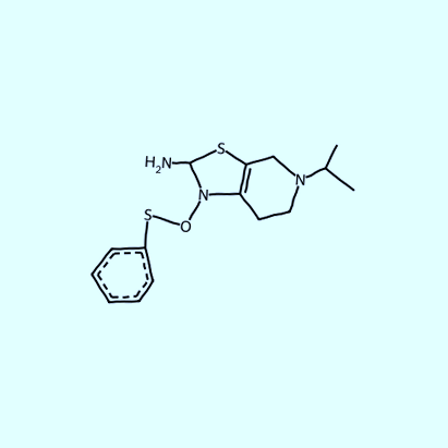 CC(C)N1CCC2=C(C1)SC(N)N2OSc1ccccc1